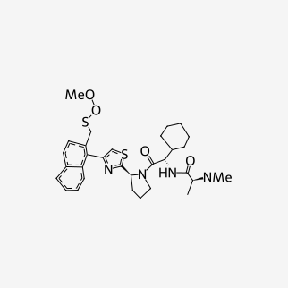 CN[C@@H](C)C(=O)N[C@H](C(=O)N1CCC[C@H]1c1nc(-c2c(CSOOC)ccc3ccccc23)cs1)C1CCCCC1